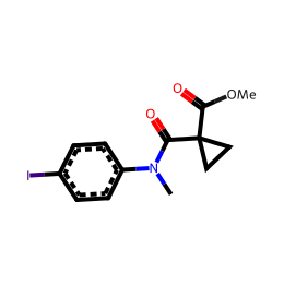 COC(=O)C1(C(=O)N(C)c2ccc(I)cc2)CC1